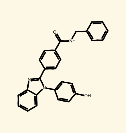 O=C(NCc1ccccc1)c1ccc(-c2nc3ccccc3n2-c2ccc(O)cc2)cc1